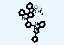 CC1(C)c2ccccc2-c2c1ccc1c(-c3cccc(-c4nc5ccccc5c5cc(-c6ccccc6)cn45)c3)nc3ccccc3c21